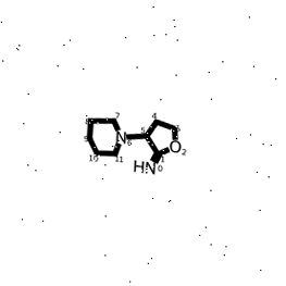 N=C1OCCC1N1CCCCC1